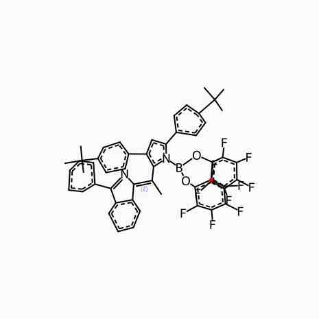 C/C(=C1/N=C(c2ccccc2)c2ccccc21)c1c(-c2ccc(C(C)(C)C)cc2)cc(-c2ccc(C(C)(C)C)cc2)n1B(Oc1c(F)c(F)c(F)c(F)c1F)Oc1c(F)c(F)c(F)c(F)c1F